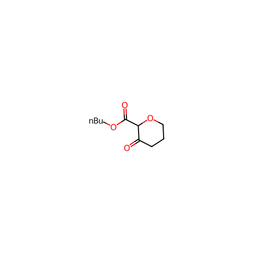 CCCCOC(=O)C1OCCCC1=O